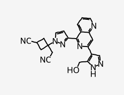 N#CCC1(n2ccc(-c3nc(-c4cn[nH]c4CO)cc4ncccc34)n2)CC(C#N)C1